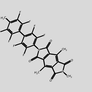 Cc1c(F)c(F)c(-c2c(F)c(F)c(-n3c(=O)c4c(C)c5c(=O)n(C)c(=O)c5c(C)c4c3=O)c(F)c2F)c(F)c1F